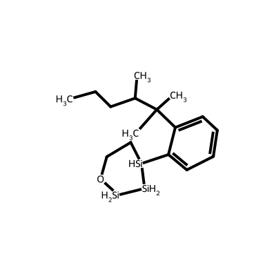 CCCC(C)C(C)(C)c1ccccc1[SiH]1CCO[SiH2][SiH2]1